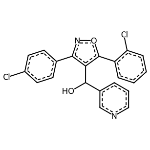 OC(c1cccnc1)c1c(-c2ccc(Cl)cc2)noc1-c1ccccc1Cl